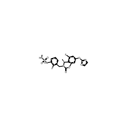 CNS(=O)(=O)Nc1cccc(CN2C(=O)Oc3cc(Oc4ncco4)cc(F)c3[C@@H]2C)c1F